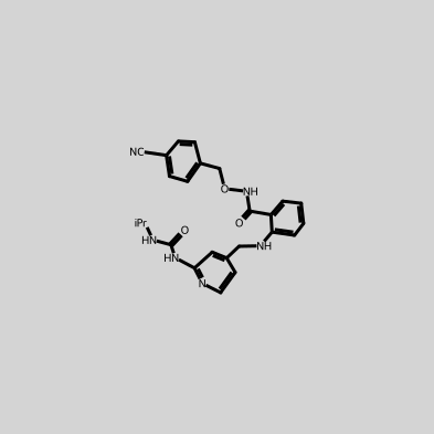 CC(C)NC(=O)Nc1cc(CNc2ccccc2C(=O)NOCc2ccc(C#N)cc2)ccn1